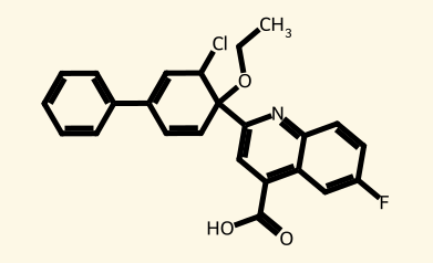 CCOC1(c2cc(C(=O)O)c3cc(F)ccc3n2)C=CC(c2ccccc2)=CC1Cl